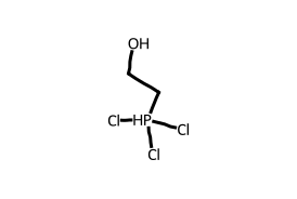 OCC[PH](Cl)(Cl)Cl